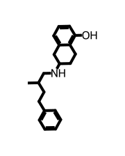 CC(CCc1ccccc1)CNC1CCc2c(O)cccc2C1